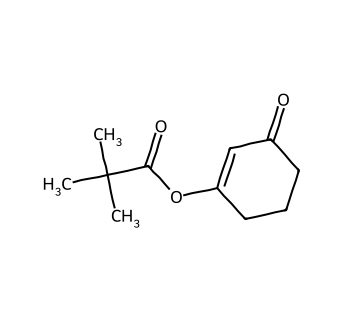 CC(C)(C)C(=O)OC1=CC(=O)CCC1